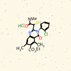 CCOC(=O)c1c(C)cc2nc(C(S)C(=O)NC)n(-c3ccccc3Cl)c(=O)c2c1C.Cl